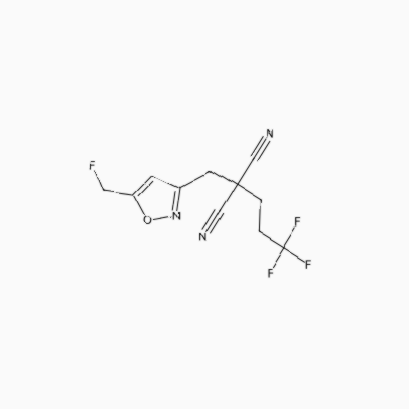 N#CC(C#N)(CCC(F)(F)F)Cc1cc(CF)on1